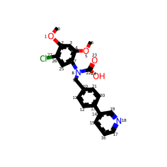 COc1cc(OC)c(N(Cc2ccc(-c3cccnc3)cc2)C(=O)O)cc1Cl